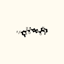 Cc1cc(C(F)(F)F)cc(NC(=O)N(C)C2CC3(C2)CN(C(=O)c2cnn4ccn(C)c24)C3)n1